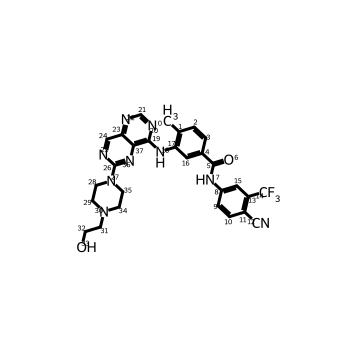 Cc1ccc(C(=O)Nc2ccc(C#N)c(C(F)(F)F)c2)cc1Nc1ncnc2cnc(N3CCN(CCO)CC3)nc12